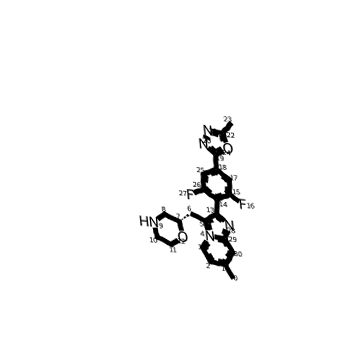 Cc1ccn2c(C[C@H]3CNCCO3)c(-c3c(F)cc(-c4nnc(C)o4)cc3F)nc2c1